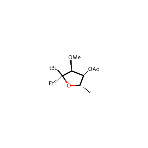 CC[C@@]1(C(C)(C)C)O[C@@H](C)[C@@H](OC(C)=O)[C@@H]1OC